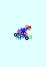 Cc1c(Cl)cccc1NC(=O)c1cc(NC(=O)c2ccccc2C(F)(F)F)cc2[nH]c(NCC(=O)OC(C)(C)C)nc12